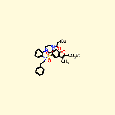 CCOC(=O)c1oc2ccc(S(=O)(=O)N(CCc3ccccc3)c3ccccc3N3CCN(C(=O)CC(C)(C)C)CC3)cc2c1C